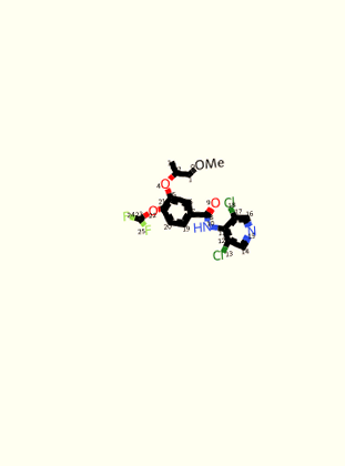 COCC(C)Oc1cc(C(=O)Nc2c(Cl)cncc2Cl)ccc1OC(F)F